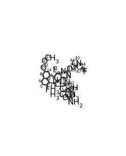 C#Cc1c(F)ccc2cc(OCOC)cc(-c3ncc4c(N5C[C@H]6[C@@H](OC(N)=O)[C@]6(C(C)(C)C)C5)nc(OC[C@@]56CCCN5C[C@H](F)C6)nc4c3F)c12